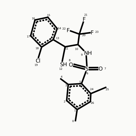 Cc1cc(C)c(S(=O)(=O)NC(C(S)c2ccccc2Cl)C(F)(F)F)c(C)c1